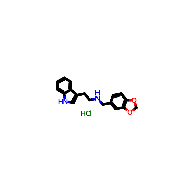 Cl.c1ccc2c(CCNCc3ccc4c(c3)OCO4)c[nH]c2c1